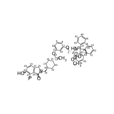 COC(=O)[C@H](COc1cccc(OC(C)[C@H]2CC[C@H](CN3Cc4ccc(O)c(F)c4C3=O)CC2)c1)NC(c1ccccc1)(c1ccccc1)c1ccccc1